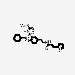 CNC(=S)NS(=O)(=O)c1cc(CCNC(=O)/C=C/c2cccs2)ccc1OCc1ccccc1